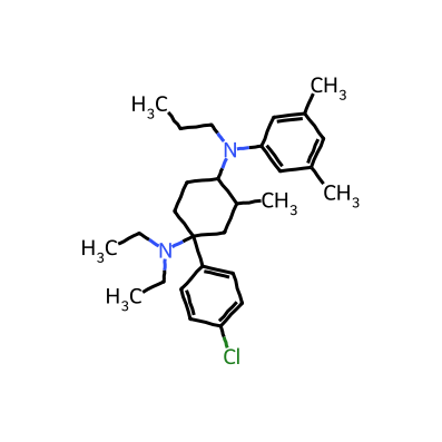 CCCN(c1cc(C)cc(C)c1)C1CCC(c2ccc(Cl)cc2)(N(CC)CC)CC1C